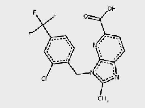 Cc1nc2ccc(C(=O)O)nc2n1Cc1ccc(C(F)(F)F)cc1Cl